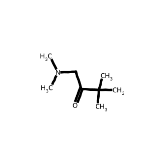 CN(C)CC(=O)C(C)(C)C